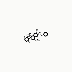 Cc1ccnc(Cl)c1-n1cc(C(C)C)c2cc(OCc3ccccc3)c(F)cc2c1=O